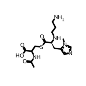 CC(=O)NC(CSC(=O)[C@H](Cc1cncn1C)NCCCN)C(=O)O